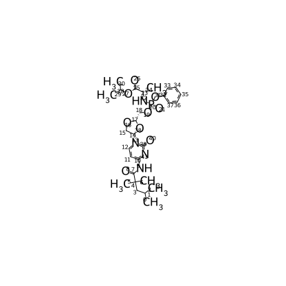 CC(C)CC(C)(C)C(=O)Nc1ccn([C@@H]2CO[C@H](COP(=O)(N[C@@H](C)C(=O)OC(C)C)Oc3ccccc3)O2)c(=O)n1